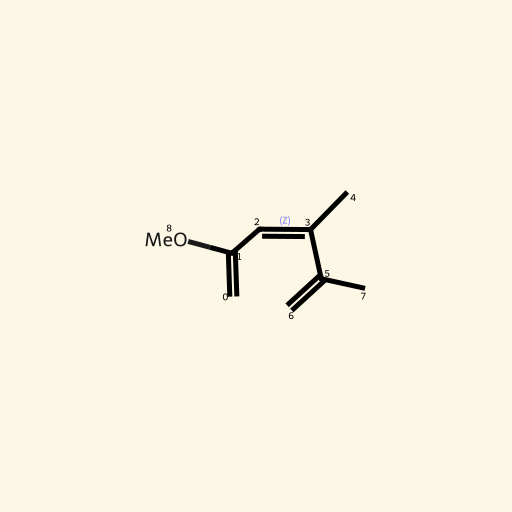 C=C(/C=C(/C)C(=C)C)OC